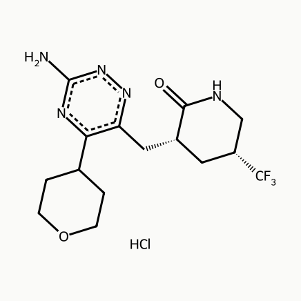 Cl.Nc1nnc(C[C@H]2C[C@@H](C(F)(F)F)CNC2=O)c(C2CCOCC2)n1